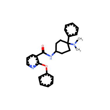 CN(C)C1(c2ccccc2)CCC(NC(=O)c2cccnc2Oc2ccccc2)CC1